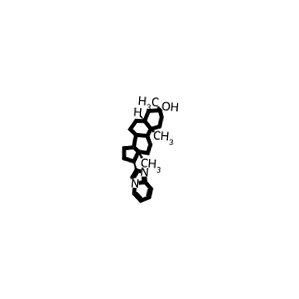 C[C@@]1(O)CC[C@]2(C)C3CC[C@@]4(C)C(CC[C@@H]4c4cn5ccccc5n4)C3CC[C@H]2C1